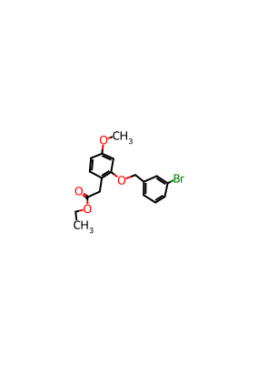 CCOC(=O)Cc1ccc(OC)cc1OCc1cccc(Br)c1